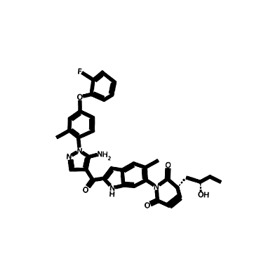 CC[C@H](O)C[C@@H]1C#CC(=O)N(c2cc3[nH]c(C(=O)c4cnn(-c5ccc(Oc6ccccc6F)cc5C)c4N)cc3cc2C)C1=O